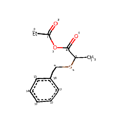 CCC(=O)OC(=O)C(C)SCc1ccccc1